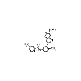 CNc1cc2ncc(-c3cc(NC(=O)c4cc(C(F)(F)F)ccn4)ccc3C)cc2cn1